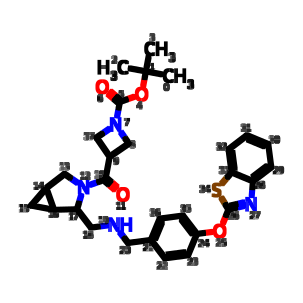 CC(C)(C)OC(=O)N1CC(C(=O)N2CC3CC3C2CNCc2ccc(Oc3nc4ccccc4s3)cc2)C1